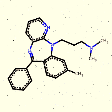 Cc1ccc2c(c1)N(CCCN(C)C)c1ncccc1N=C2c1ccccc1